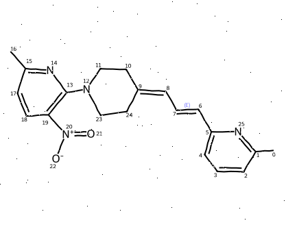 Cc1cccc(/C=C/C=C2CCN(c3nc(C)ccc3[N+](=O)[O-])CC2)n1